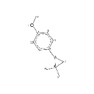 COc1ccc(C2CC2(C)C)cc1